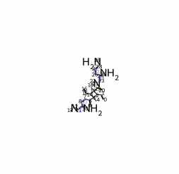 C=CC1C(C)(C(=C)/C=C\C(N)=C/N=C)C(C=C)C1(C)C(=C)N(C)/C=C(N)\C=C/CN